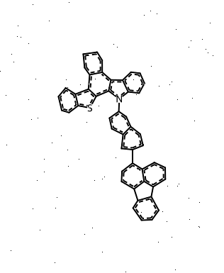 c1ccc2c(c1)-c1cccc3c(-c4ccc5cc(-n6c7ccccc7c7c8ccccc8c8c9ccccc9sc8c76)ccc5c4)ccc-2c13